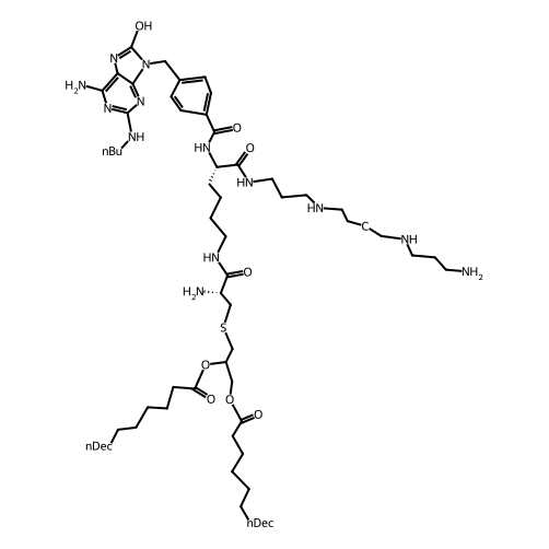 CCCCCCCCCCCCCCCC(=O)OCC(CSC[C@H](N)C(=O)NCCCC[C@H](NC(=O)c1ccc(Cn2c(O)nc3c(N)nc(NCCCC)nc32)cc1)C(=O)NCCCNCCCCNCCCN)OC(=O)CCCCCCCCCCCCCCC